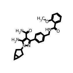 COc1ccccc1C(=O)NCc1ccc(-c2nn(C3CC4CC4C3)c(N)c2C(N)=O)cc1